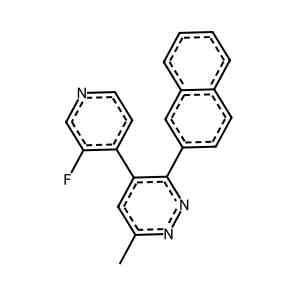 Cc1cc(-c2ccncc2F)c(-c2ccc3ccccc3c2)nn1